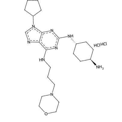 Cl.Cl.N[C@H]1CC[C@H](Nc2nc(NCCCN3CCOCC3)c3ncn(C4CCCC4)c3n2)CC1